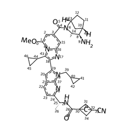 COc1cc(C(=O)N2C[C@H](N)[C@H]3CC[C@@H]2C3)cc2nc(-c3cc4ccc([C@@H](C)NC(=O)C56CC(C#N)(C5)C6)nc4n3CC3CC3)c(C3CC3)n12